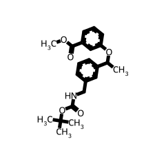 COC(=O)c1cccc(OC(C)c2cccc(CNC(=O)OC(C)(C)C)c2)c1